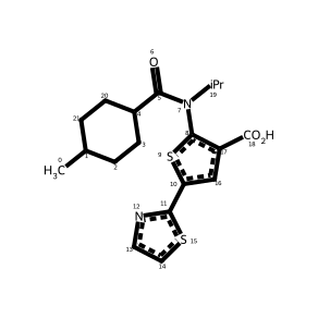 CC1CCC(C(=O)N(c2sc(-c3nccs3)cc2C(=O)O)C(C)C)CC1